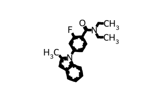 CCN(CC)C(=O)c1ccc(-n2c(C)cc3ccccc32)cc1F